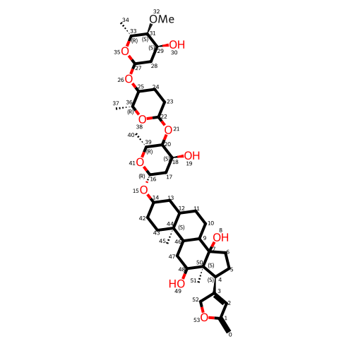 C=C1C=C([C@@H]2CCC3(O)C4CCC5CC(O[C@H]6C[C@H](O)C(OC7CCC(OC8C[C@H](O)[C@H](OC)[C@@H](C)O8)[C@@H](C)O7)[C@@H](C)O6)CC[C@]5(C)C4CC(O)[C@]23C)CO1